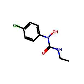 CCNC(=O)N(O)c1ccc(Cl)cc1